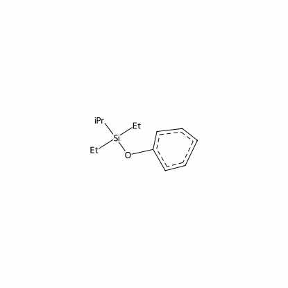 CC[Si](CC)(Oc1ccccc1)C(C)C